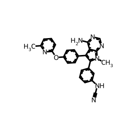 Cc1cccc(Oc2ccc(-c3c(-c4cccc(NC#N)c4)n(C)c4ncnc(N)c34)cc2)n1